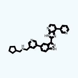 c1cncc(-c2ccnc3[nH]c(-c4n[nH]c5ccc(-c6cncc(CNCC7CCCC7)c6)cc45)nc23)c1